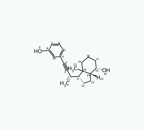 C[C@H](C#Cc1cccc(O)c1)[C@H]1CC[C@H]2[C@@H](O)CCCC12C